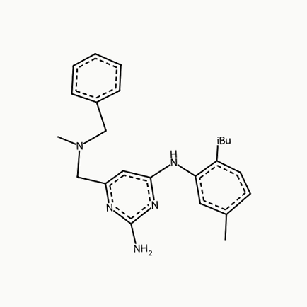 CCC(C)c1ccc(C)cc1Nc1cc(CN(C)Cc2ccccc2)nc(N)n1